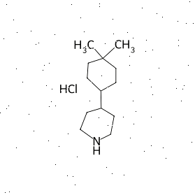 CC1(C)CCC(C2CCNCC2)CC1.Cl